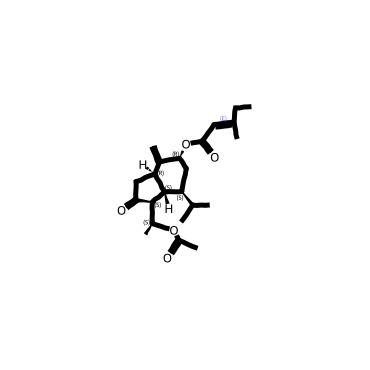 C=C1[C@H](OC(=O)/C=C(\C)CC)C[C@@H](C(C)C)[C@@H]2[C@@H]([C@H](C)OC(C)=O)C(=O)C[C@@H]12